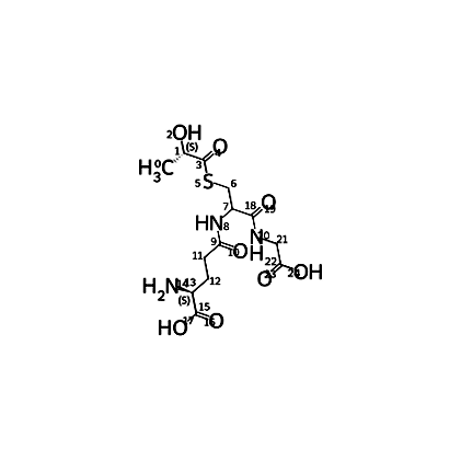 C[C@H](O)C(=O)SCC(NC(=O)CC[C@H](N)C(=O)O)C(=O)NCC(=O)O